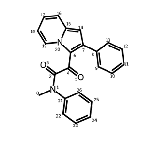 CN(C(=O)C(=O)c1c(-c2ccccc2)cc2ccccn12)c1ccccc1